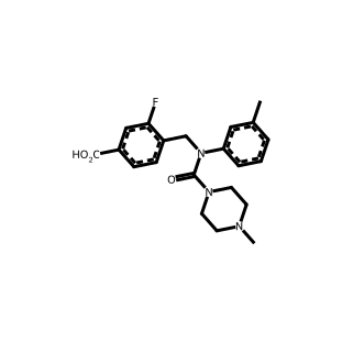 Cc1cccc(N(Cc2ccc(C(=O)O)cc2F)C(=O)N2CCN(C)CC2)c1